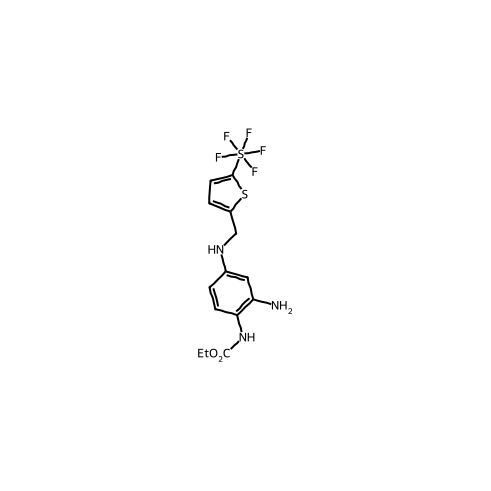 CCOC(=O)Nc1ccc(NCc2ccc(S(F)(F)(F)(F)F)s2)cc1N